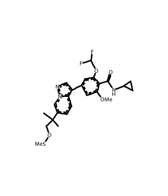 COc1cc(-c2cnn3cc(C(C)(C)COSC)ccc23)cc(OC(F)F)c1C(=O)NC1CC1